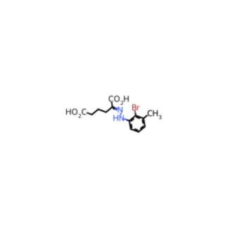 Cc1cccc(N/N=C(\CCCC(=O)O)C(=O)O)c1Br